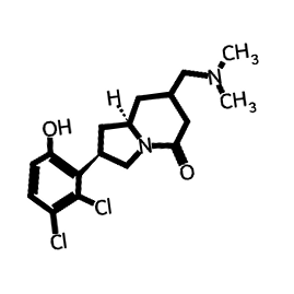 CN(C)CC1CC(=O)N2C[C@@H](c3c(O)ccc(Cl)c3Cl)C[C@H]2C1